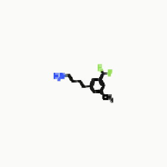 Cc1cc(CCCCN)cc(C(F)F)c1